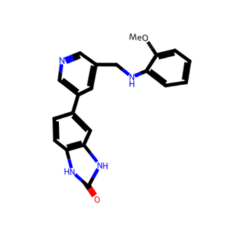 COc1ccccc1NCc1cncc(-c2ccc3[nH]c(=O)[nH]c3c2)c1